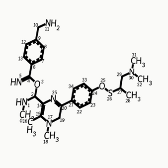 CNC(OC(=N)c1ccc(CN)cc1)C1=C(C)N(C)CC(c2ccc(OSC(C)CN(C)C)cc2)=N1